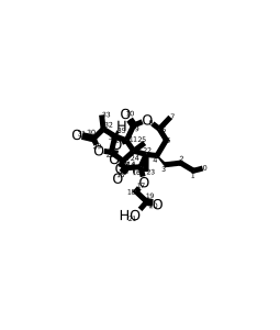 CCCC[C@@H]1CC(C)OC(=O)C23OOC(=O)C(OCC(=O)O)C1(C)C2(C)[C@@H](O)C1OC(=O)C(C)[C@@H]13